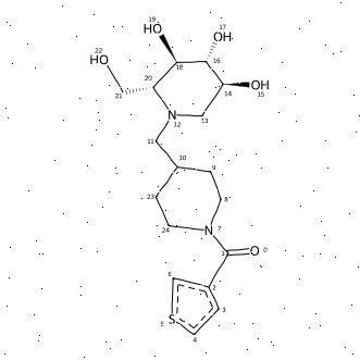 O=C(c1ccsc1)N1CCC(CN2C[C@H](O)[C@@H](O)[C@H](O)[C@H]2CO)CC1